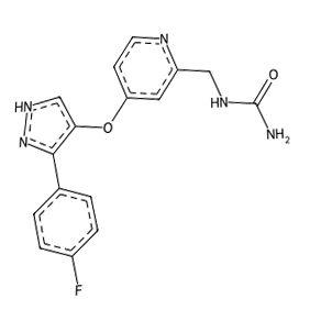 NC(=O)NCc1cc(Oc2c[nH]nc2-c2ccc(F)cc2)ccn1